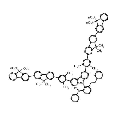 CCCCCCCCC1(CCCCCCCC)c2ccccc2-c2ccc(-c3ccc4c(c3)C(C)(C)c3cc(-c5cc(C)c(-c6ccc7c(c6)c6cc(-c8c(C)cc(-c9ccc%10c(c9)C(C)(C)c9cc(-c%11ccc%12c(c%11)C(CCCCCCCC)(CCCCCCCC)c%11ccccc%11-%12)ccc9-%10)cc8C)ccc6n7-c6c(CCc7ccccc7)cccc6B(O)c6ccccc6)c(C)c5)ccc3-4)cc21